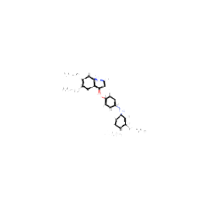 COc1ccc(Nc2ccc(Oc3ccnc4cc(OC)c(OC)cc34)cc2)cc1OC